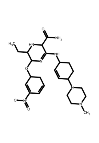 CCC1NC(C(N)=O)C(NC2C=CC(N3CCN(C)CC3)CC2)=NC1OC1C=C([N+](=O)[O-])C=CC1